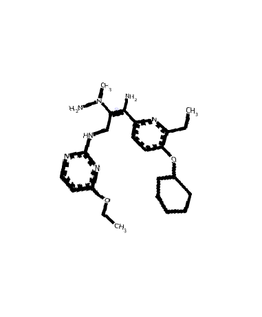 CCOc1ccnc(NC/C(=C(/N)c2ccc(OC3CCCCC3)c(CC)n2)N(C)N)n1